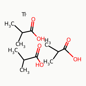 CC(C)C(=O)O.CC(C)C(=O)O.CC(C)C(=O)O.[Tl]